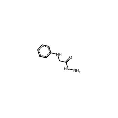 NNC(=O)CNc1ccccc1